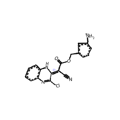 N#C/C(C(=O)OCc1cccc(N)c1)=C1/Nc2ccccc2N=C1Cl